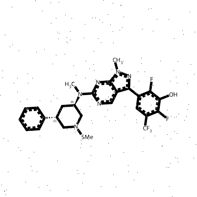 CSN1C[C@H](c2ccccc2)C[C@@H](N(C)c2ncc3c(-c4cc(C(F)(F)F)c(F)c(O)c4F)nn(C)c3n2)C1